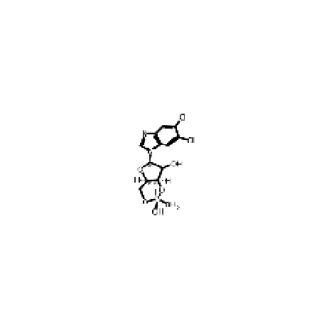 B[PH]1(O)OC[C@H]2O[C@@H](n3cnc4cc(Cl)c(Cl)cc43)C(O)[C@H]2O1